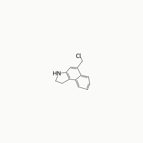 ClCc1cc2c(c3ccccc13)CCN2